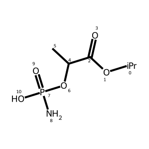 CC(C)OC(=O)C(C)OP(N)(=O)O